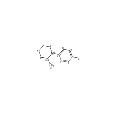 Cc1ccc(N2CCCCC2O)cc1